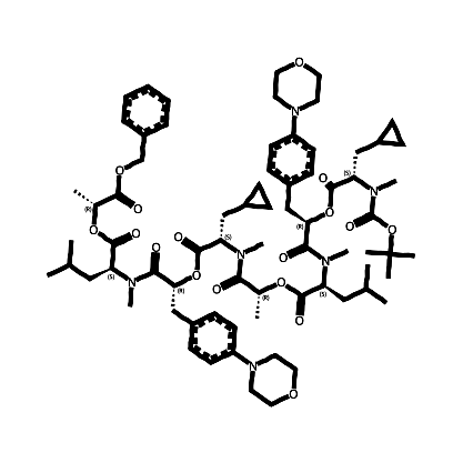 CC(C)C[C@@H](C(=O)O[C@H](C)C(=O)N(C)[C@@H](CC1CC1)C(=O)O[C@H](Cc1ccc(N2CCOCC2)cc1)C(=O)N(C)[C@@H](CC(C)C)C(=O)O[C@H](C)C(=O)OCc1ccccc1)N(C)C(=O)[C@@H](Cc1ccc(N2CCOCC2)cc1)OC(=O)[C@H](CC1CC1)N(C)C(=O)OC(C)(C)C